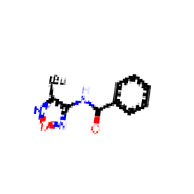 CC(C)(C)c1nonc1NC(=O)c1ccccc1